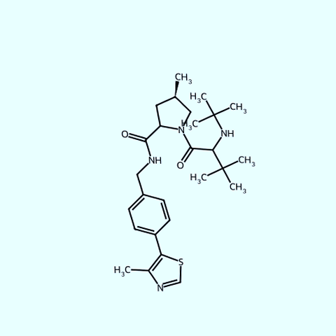 Cc1ncsc1-c1ccc(CNC(=O)C2C[C@@H](C)CN2C(=O)C(NC(C)(C)C)C(C)(C)C)cc1